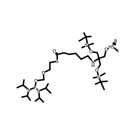 B#[SH](I)OCC(CO[Si](C)(C)C(C)(C)C)(CO[Si](C)(C)C(C)(C)C)NCCCCCC(=O)SCCOCOP(N(C(C)C)C(C)C)N(C(C)C)C(C)C